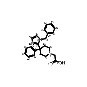 O=C(O)CN1CCC(c2ccccc2)(c2nccn2Cc2ccccc2)CC1